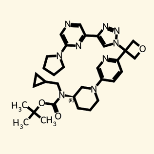 CC(C)(C)OC(=O)N(CC1CC1)[C@@H]1CCCN(c2ccc(C3(n4cc(-c5cncc(N6CCCC6)n5)nn4)COC3)nc2)C1